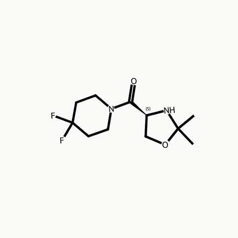 CC1(C)N[C@H](C(=O)N2CCC(F)(F)CC2)CO1